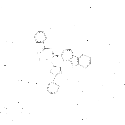 CN(/C(=N\C(=N)c1ccccc1)c1ccc2c(c1)oc1ccccc12)C1CN=C(c2ccccc2)N1